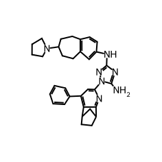 Nc1nc(Nc2ccc3c(c2)CCC(N2CCCC2)CC3)nn1-c1cc(-c2ccccc2)c2c(n1)C1CCC2C1